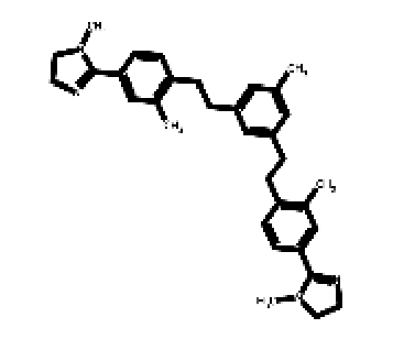 Cc1cc(CCc2ccc(C3=NCCN3C)cc2C)cc(CCc2ccc(C3=NCCN3C)cc2C)c1